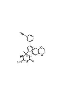 CN1C(=N)N[C@](C)(c2cc(-c3cccc(C#N)c3)cs2)[C@H](c2ccc3c(c2)OCCO3)C1=O